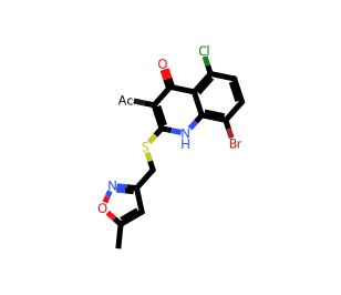 CC(=O)c1c(SCc2cc(C)on2)[nH]c2c(Br)ccc(Cl)c2c1=O